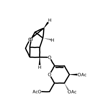 CC(=O)OCC1OC(O[C@@H]2C3CO[C@@H]4C5OC3C2[C@@H]54)=C[C@@H](OC(C)=O)[C@@H]1OC(C)=O